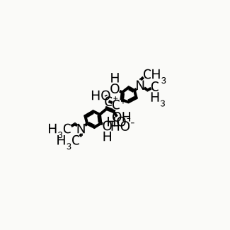 CCN(CC)c1ccc(-c2c(O)[c+](-c3ccc(N(CC)CC)cc3O)[c+]2O)c(O)c1.[OH-].[OH-]